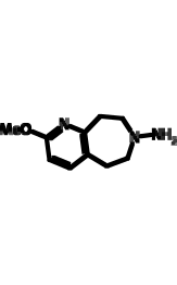 COc1ccc2c(n1)CCN(N)CC2